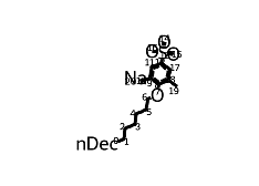 CCCCCCCCCCCCCCCCOc1c(C)cc(S(=O)(=O)[O-])cc1C.[Na+]